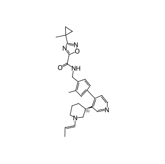 CC=CN1CCC[C@@H](c2cnccc2-c2ccc(CNC(=O)c3nc(C4(C)CC4)no3)c(C)c2)C1